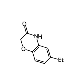 CCc1ccc2c(c1)NC(=O)CO2